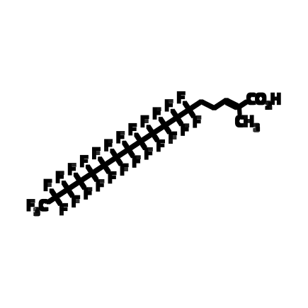 CC(=CCCC(F)(F)C(F)(F)C(F)(F)C(F)(F)C(F)(F)C(F)(F)C(F)(F)C(F)(F)C(F)(F)C(F)(F)C(F)(F)C(F)(F)C(F)(F)F)C(=O)O